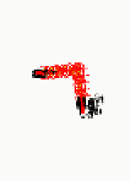 O=S(=O)([O-])[O-].O=S(=O)([O-])[O-].O=S(=O)([O-])[O-].O=S(=O)([O-])[O-].O=S(=O)([O-])[O-].O=S(=O)([O-])[O-].O=S(=O)([O-])[O-].O=S(=O)([O-])[O-].O=S(=O)([O-])[O-].O=S(=O)([O-])[O-].[Ca+2].[Ca+2].[Ca+2].[Ca+2].[K+].[K+].[K+].[K+].[Mg+2].[Mg+2].[Mg+2].[Mg+2]